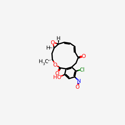 C[C@@H]1C[C@H]2O[C@@H]2/C=C\C=C\C(=O)Cc2c(Cl)c(N=O)cc(O)c2C(=O)O1